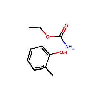 CCOC(N)=O.Cc1ccccc1O